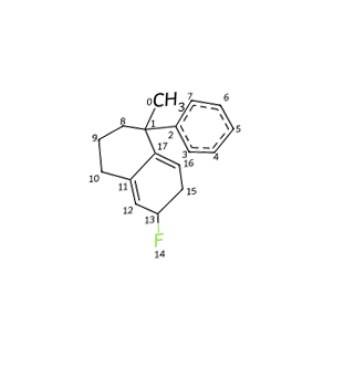 CC1(c2ccccc2)CCCC2=CC(F)CC=C21